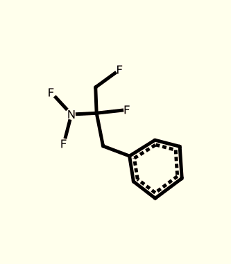 FCC(F)(Cc1ccccc1)N(F)F